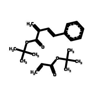 C=C(C=Cc1ccccc1)C(=O)OC(C)(C)C.C=CC(=O)OC(C)(C)C